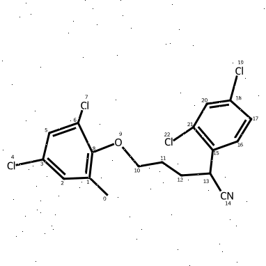 Cc1cc(Cl)cc(Cl)c1OCCCC(C#N)c1ccc(Cl)cc1Cl